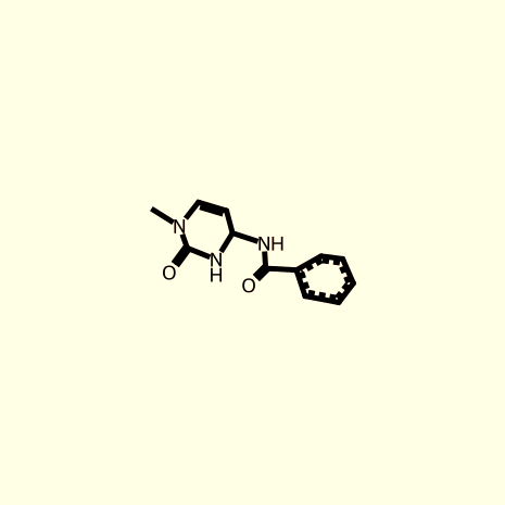 CN1C=CC(NC(=O)c2ccccc2)NC1=O